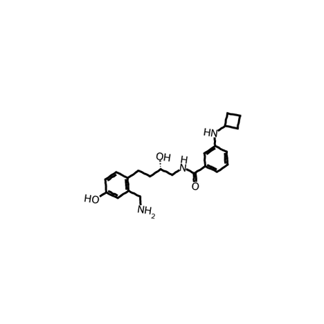 NCc1cc(O)ccc1CC[C@H](O)CNC(=O)c1cccc(NC2CCC2)c1